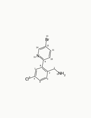 NCc1ccc(Cl)cc1-c1ccc(Br)cn1